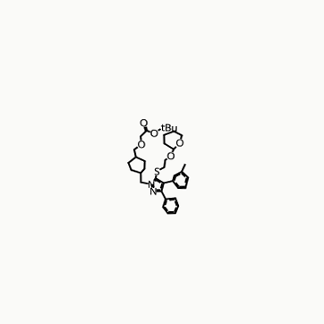 Cc1cccc(-c2c(-c3ccccc3)nn(CC3CCC(COCC(=O)OC(C)(C)C)CC3)c2SCCOC2CCCCO2)c1